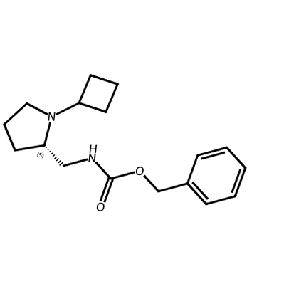 O=C(NC[C@@H]1CCCN1C1CCC1)OCc1ccccc1